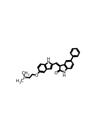 CN(C)CCOc1ccc2[nH]c(C=C3C(=O)Nc4ccc(-c5ccccc5)cc43)cc2c1